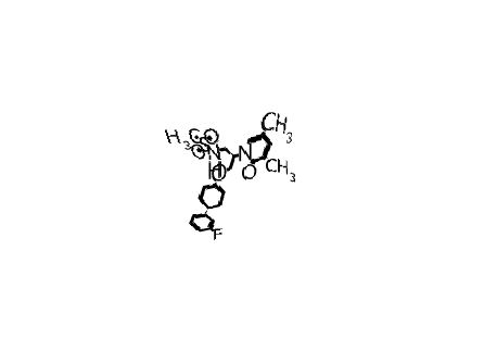 Cc1cc(C)c(=O)n([C@H](CNS(C)(=O)=O)CO[C@H]2CC[C@@H](c3cccc(F)c3)CC2)c1